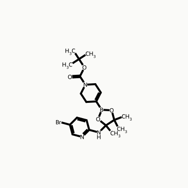 CC(C)(C)OC(=O)N1CC=C(B2OC(C)(C)C(C)(Nc3ccc(Br)cn3)O2)CC1